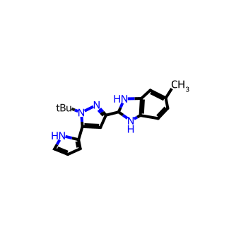 Cc1ccc2c(c1)NC(c1cc(-c3ccc[nH]3)n(C(C)(C)C)n1)N2